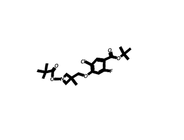 CC1(COc2cc(F)c(C(=O)OC(C)(C)C)cc2Cl)CN(OC(=O)C(C)(C)C)C1